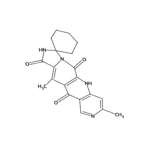 Cc1cc2[nH]c3c(=O)n4c(c(C)c3c(=O)c2cn1)C(=O)NC41CCCCC1